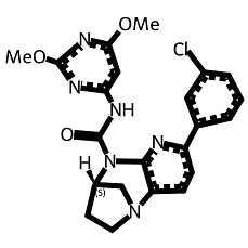 COc1cc(NC(=O)N2c3nc(-c4cccc(Cl)c4)ccc3N3CC[C@H]2C3)nc(OC)n1